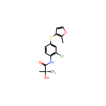 Cc1occc1Sc1ccc(NC(=O)[C@@](C)(O)C(F)(F)F)c(Cl)c1